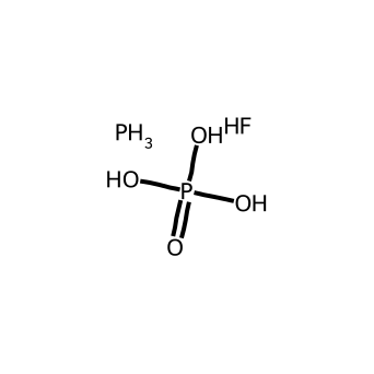 F.O=P(O)(O)O.P